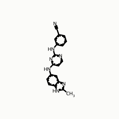 Cc1nc2cc(Nc3ccnc(Nc4cccc(C#N)c4)n3)ccc2[nH]1